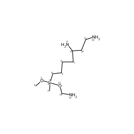 CO[Si](C)(CCCCC(N)CCN)OCN